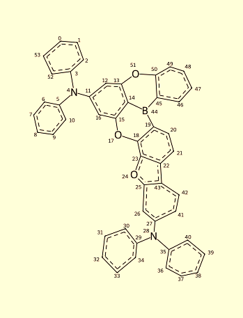 c1ccc(N(c2ccccc2)c2cc3c4c(c2)Oc2c(ccc5c2oc2cc(N(c6ccccc6)c6ccccc6)ccc25)B4c2ccccc2O3)cc1